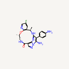 C[C@H]1CNC(=O)c2cnn3c(N)c(-c4ccc(N)cc4)c(nc23)N[C@H](C)c2cc(F)cnc2O1